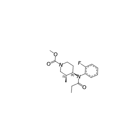 CCC(=O)N(c1ccccc1F)[C@@H]1CCN(C(=O)OC)C[C@@H]1C